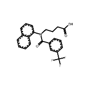 O=C(O)CCCN(C(=O)c1cccc(C(F)(F)F)c1)c1cccc2ccccc12